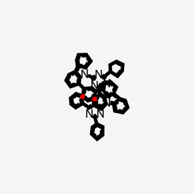 C1=CCC(c2nc(-c3ccccc3)nc(-n3c4ccccc4c4cccc(-c5cccc(-c6cccc7c8ccccc8n(-c8nc(-c9ccccc9)nc(-c9ccccc9)n8)c67)c5)c43)n2)C=C1